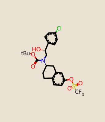 CC(C)(C)OC(=O)N(C[C@H](O)c1ccc(Cl)cc1)[C@H]1CCc2ccc(OS(=O)(=O)C(F)(F)F)cc2C1